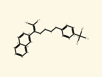 FC(F)=C(CCCCc1ccc(C(F)(F)F)cc1)c1ccc2ccccc2c1